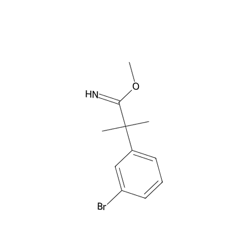 COC(=N)C(C)(C)c1cccc(Br)c1